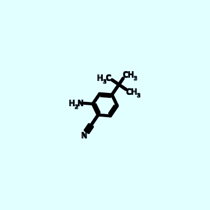 CC(C)(C)c1ccc(C#N)c(N)c1